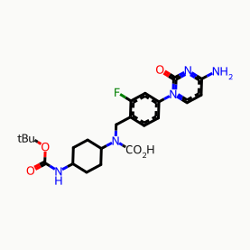 CC(C)(C)OC(=O)NC1CCC(N(Cc2ccc(-n3ccc(N)nc3=O)cc2F)C(=O)O)CC1